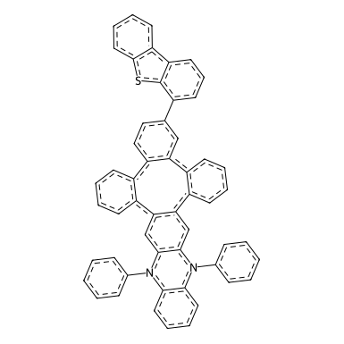 c1ccc(-n2c3ccccc3n(-c3ccccc3)c3cc4c5ccccc5c5cc(-c6cccc7c6sc6ccccc67)ccc5c5ccccc5c4cc32)cc1